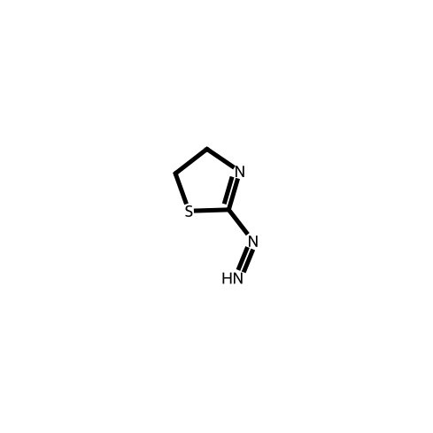 N=NC1=NCCS1